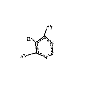 CC(C)c1ncnc(C(C)C)c1Br